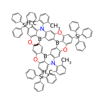 Cc1cccc(C)c1N1c2cc3c(cc2B2c4ccccc4Oc4cc([Si](c5ccccc5)(c5ccccc5)c5ccccc5)cc1c42)B1c2cc4c(cc2Oc2cc([Si](c5ccccc5)(c5ccccc5)c5ccccc5)cc(c21)O3)N(c1c(C)cccc1C)c1cc([Si](c2ccccc2)(c2ccccc2)c2ccccc2)cc2c1B4c1ccccc1O2